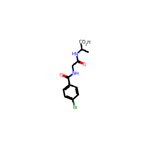 CC(NC(=O)CNC(=O)c1ccc(Br)cc1)C(=O)O